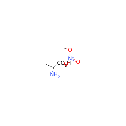 CC(N)C(=O)O.CO[N+](=O)[O-]